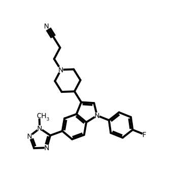 Cn1ncnc1-c1ccc2c(c1)c(C1CCN(CCC#N)CC1)cn2-c1ccc(F)cc1